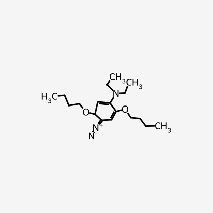 CCCCOC1=CC(=[N+]=[N-])C(OCCCC)C=C1N(CC)CC